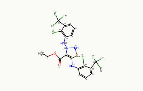 CCOC(=O)C1=C(Nc2cccc(C(F)(F)F)c2Cl)SNN1Nc1cccc(C(F)(F)F)c1Cl